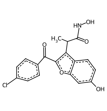 CC(C(=O)NO)c1c(C(=O)c2ccc(Cl)cc2)oc2cc(O)ccc12